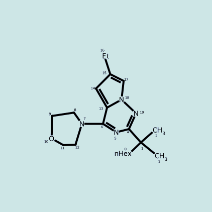 CCCCCCC(C)(C)c1nc(N2CCOCC2)c2cc(CC)cn2n1